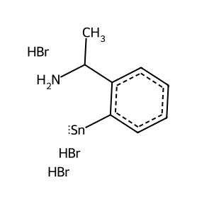 Br.Br.Br.CC(N)c1cccc[c]1[Sn]